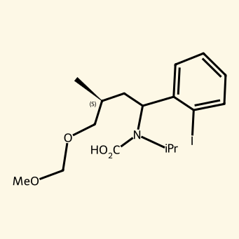 COCOC[C@@H](C)CC(c1ccccc1I)N(C(=O)O)C(C)C